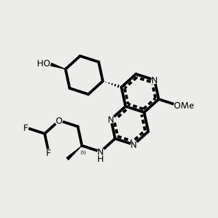 COc1ncc([C@H]2CC[C@H](O)CC2)c2nc(N[C@@H](C)COC(F)F)ncc12